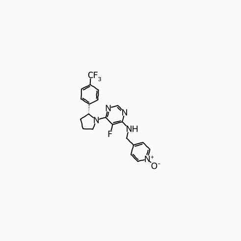 [O-][n+]1ccc(CNc2ncnc(N3CCC[C@@H]3c3ccc(C(F)(F)F)cc3)c2F)cc1